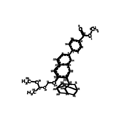 COC(=O)c1ccc(-c2ccc3cc(OCOC(C)OC)c(C45CC6CC(CC(C6)C4)C5)cc3c2)cc1